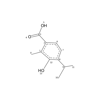 Cc1c(C(=O)O)ccc(C(C)C)c1O